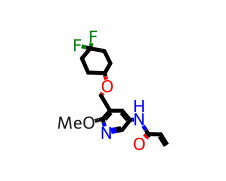 C=CC(=O)Nc1cnc(OC)c(COC2CCC(F)(F)CC2)c1